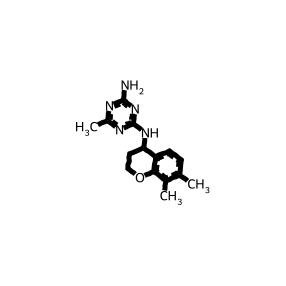 Cc1nc(N)nc(NC2CCOc3c2ccc(C)c3C)n1